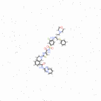 O=C(NS(=O)(=O)c1ccc(N[C@H](CCN2CCOCC2)CSc2ccccc2)c(F)c1)c1csc(N2CCc3cccc(C(=O)Nc4cn5ccccc5n4)c3C2)n1